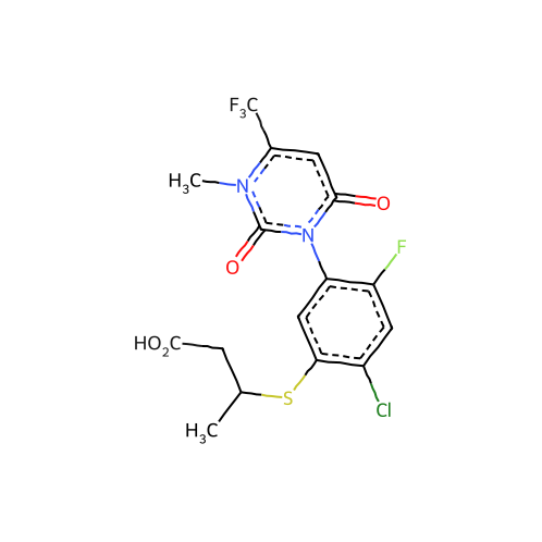 CC(CC(=O)O)Sc1cc(-n2c(=O)cc(C(F)(F)F)n(C)c2=O)c(F)cc1Cl